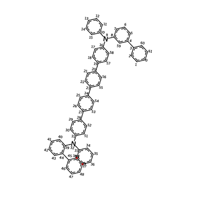 c1ccc(-c2cccc(N(c3ccccc3)c3ccc(-c4ccc(-c5ccc(-c6ccc(N(c7ccccc7)c7ccccc7-c7ccccc7)cc6)cc5)cc4)cc3)c2)cc1